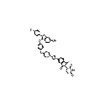 O=C1CCC(N2C(=O)c3ccc(N4CC(N5CCC(Oc6ccc(Oc7c(-c8ccc(Br)cc8)sc8cc(O)ccc78)cc6)CC5)C4)cc3C2=O)C(=O)N1